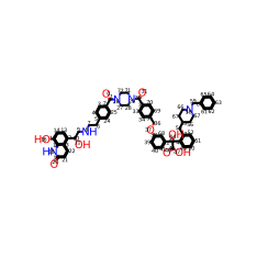 O=C(c1ccc(CCNC[C@H](O)c2ccc(O)c3[nH]c(=O)ccc23)cc1)N1CCN(C(=O)c2ccc(COc3cccc([C@@](O)(C(=O)O)c4ccccc4CC4CCN(Cc5ccccc5)CC4)c3)cc2)CC1